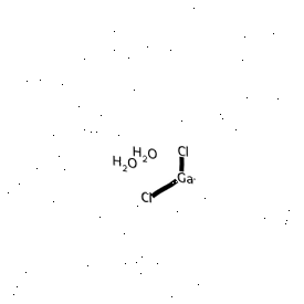 O.O.[Cl][Ga][Cl]